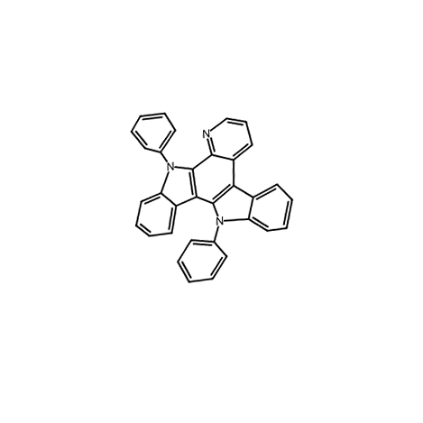 c1ccc(-n2c3ccccc3c3c2c2ncccc2c2c4ccccc4n(-c4ccccc4)c23)cc1